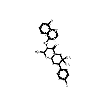 CC(C)[C@@H](Nc1ncnc2c(Br)cccc12)C(=O)N1CCC(c2ccc(Cl)cc2)C(C)(C)C1